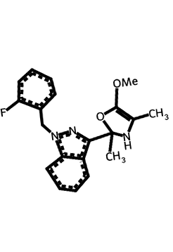 COC1=C(C)NC(C)(c2nn(Cc3ccccc3F)c3ccccc23)O1